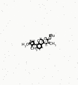 Cc1c(-c2cccc3c2OCC[C@H]3CN(C)C(=O)OC(C)(C)C)cnn1C